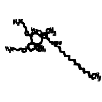 CCCCCCCCCCCCCCCCNCCC[C@@H](C)[C@H]1CC[C@H]2C[C@H](OCCCN)CC3C[C@H](OCCCN)CC[C@]3(C)[C@H](C)CC[C@@]21C